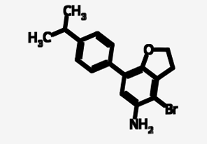 CC(C)c1ccc(-c2cc(N)c(Br)c3c2OCC3)cc1